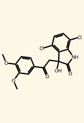 COc1ccc(C(=O)CC2(O)C(=O)Nc3c(Cl)ccc(Cl)c32)cc1OC